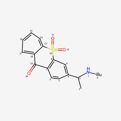 CCC(C)NC(C)c1ccc2c(c1)S(=O)(=O)c1ccccc1C2=O